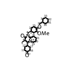 COc1cc(Cn2c(=O)c(C)c(-c3ccc([O-])cc3)[n+]3ccccc23)ccc1OCc1ccccc1